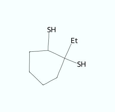 CCC1(S)CCCCC1S